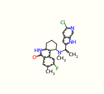 C=C(c1cc2cc(Cl)ncc2[nH]1)N(C)C1CCCc2[nH]c(=O)c3cc(C)c(F)cc3c21